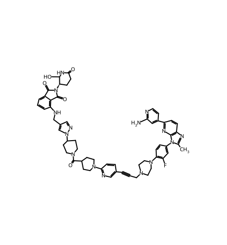 Cc1nc2ccc(-c3ccnc(N)c3)nc2n1-c1ccc(N2CCN(CC#Cc3ccc(N4CCC(C(=O)N5CCC(n6cc(CNc7cccc8c7C(=O)N([C@@H]7CCC(=O)NC7O)C8=O)cn6)CC5)CC4)nc3)CC2)c(F)c1